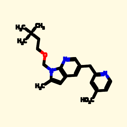 Cc1cc2cc(Cc3cc(C(=O)O)ccn3)cnc2n1COCC[Si](C)(C)C